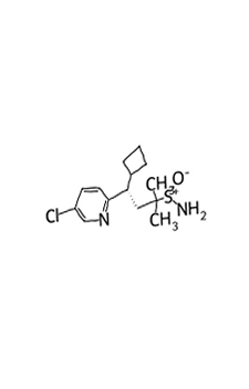 CC(C)(C[C@H](c1ccc(Cl)cn1)C1CCC1)[S+](N)[O-]